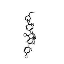 CCC1CCN(c2ccc(-n3cnn4nc(-c5ccc(Cl)cn5)cc4c3=O)cn2)C1